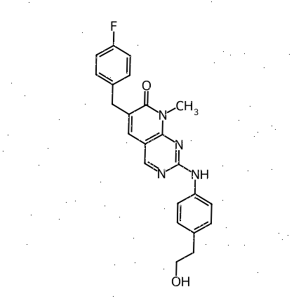 Cn1c(=O)c(Cc2ccc(F)cc2)cc2cnc(Nc3ccc(CCO)cc3)nc21